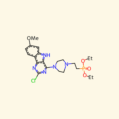 CCOP(=O)(CCN1CCN(c2nc(Cl)nc3c2[nH]c2cc(OC)ccc23)CC1)OCC